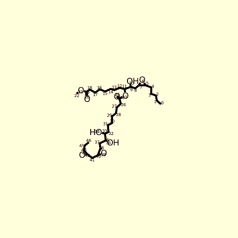 CCCCCC1OC1CC(O)C(CCCCCCCC(=O)OC)OC(=O)CCCCCCCC(O)C(O)CC1OC1CC1OC1CC